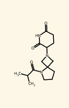 CC(C)C(=O)N1CCCC12CN(C1CCC(=O)NC1=O)C2